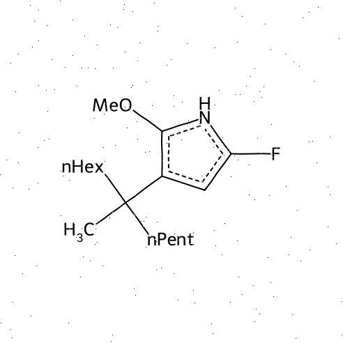 CCCCCCC(C)(CCCCC)c1cc(F)[nH]c1OC